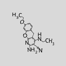 CCNc1c(C#N)c(N)nc2c1Cc1ccc(OCC)cc1O2